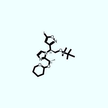 C[C@H](OC1CCCCO1)c1nccn1[C@H](CO[Si](C)(C)C(C)(C)C)c1cc(I)on1